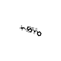 O=C(NC1CCCCC1)N[C@H]1CO[C@H]2[C@@H]1OC[C@@H]2SCC(F)(F)F